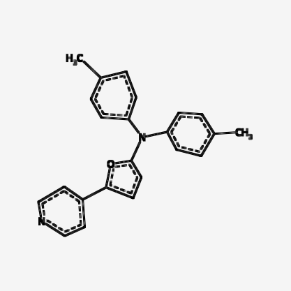 Cc1ccc(N(c2ccc(C)cc2)c2ccc(-c3ccncc3)o2)cc1